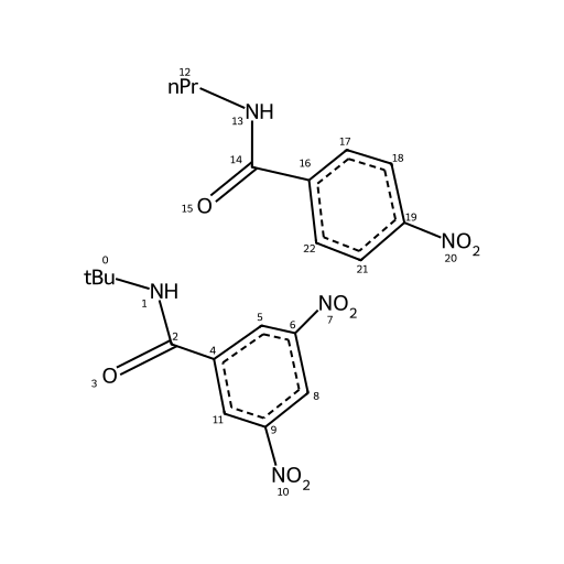 CC(C)(C)NC(=O)c1cc([N+](=O)[O-])cc([N+](=O)[O-])c1.CCCNC(=O)c1ccc([N+](=O)[O-])cc1